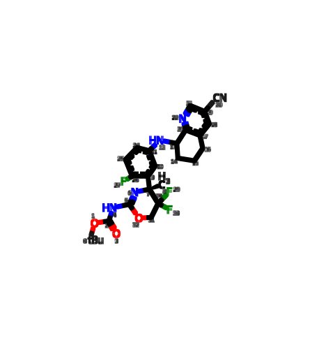 CC(C)(C)OC(=O)NC1=N[C@](C)(c2cc(NC3CCCc4cc(C#N)cnc43)ccc2F)C(F)(F)CO1